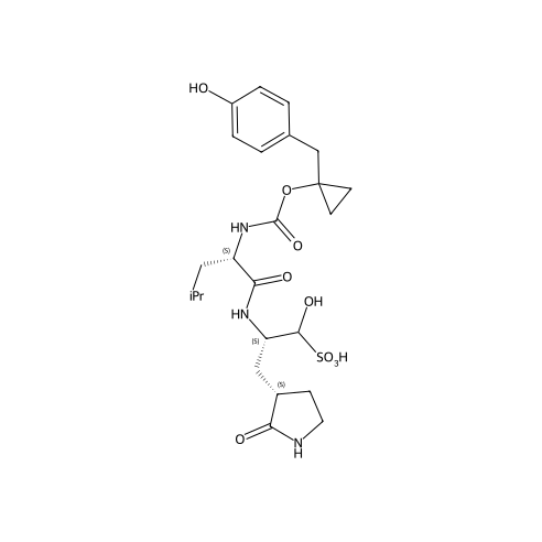 CC(C)C[C@H](NC(=O)OC1(Cc2ccc(O)cc2)CC1)C(=O)N[C@@H](C[C@@H]1CCNC1=O)C(O)S(=O)(=O)O